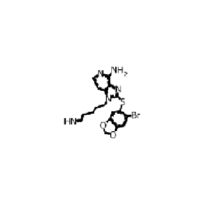 N=CCCCCn1c(Sc2cc3c(cc2Br)OCO3)nc2c(N)nccc21